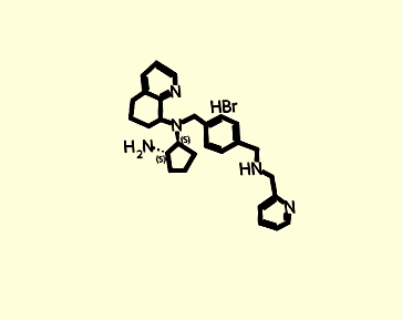 Br.N[C@H]1CCC[C@@H]1N(Cc1ccc(CNCc2ccccn2)cc1)C1CCCc2cccnc21